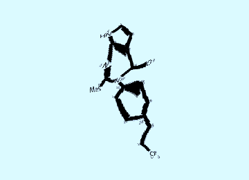 CSc1nc2[nH]ccc2c(=O)n1-c1ccc(CCC(F)(F)F)cc1